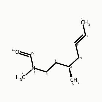 C/C=C/C[C@@H](C)CCN(C)C=O